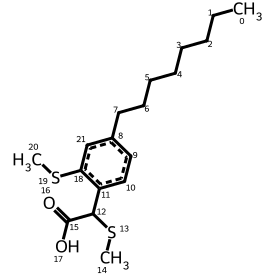 CCCCCCCCc1ccc(C(SC)C(=O)O)c(SC)c1